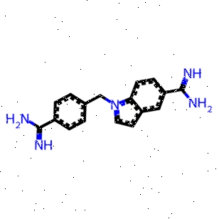 N=C(N)c1ccc(Cn2ccc3cc(C(=N)N)ccc32)cc1